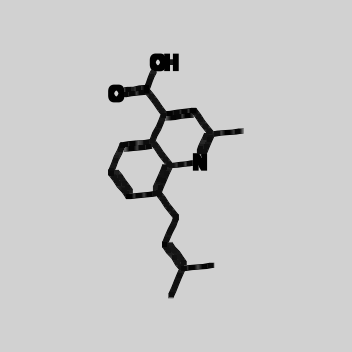 CC(C)=CCc1cccc2c(C(=O)O)cc(C)nc12